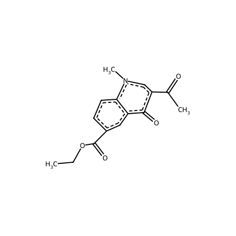 CCOC(=O)c1ccc2c(c1)c(=O)c(C(C)=O)cn2C